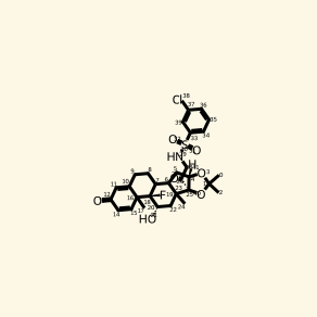 CC1(C)O[C@H]2CC3C4CCC5=CC(=O)C=CC5(C)[C@@]4(F)[C@@H](O)CC3(C)[C@]2(C(=O)CNS(=O)(=O)c2cccc(Cl)c2)O1